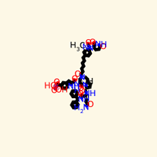 Cn1c(=O)n(C2CCC(=O)NC2=O)c2ccc(CCCCCCC(=O)N3CC[C@H]4CC[C@@H](C(=O)N[C@H](CCC(N)=O)C(=O)NC(c5ccccc5)c5ccccc5)N4C(=O)[C@@H](NC(=O)c4cc5cc(C(=O)P(=O)(O)O)ccc5[nH]4)C3)cc21